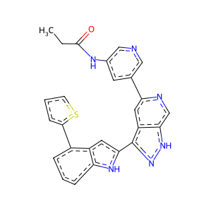 CCC(=O)Nc1cncc(-c2cc3c(-c4cc5c(-c6cccs6)cccc5[nH]4)n[nH]c3cn2)c1